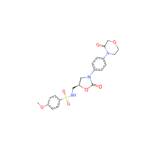 COc1ccc(S(=O)(=O)NC[C@H]2CN(c3ccc(N4CCOCC4=O)cc3)C(=O)O2)cc1